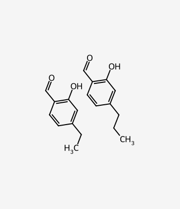 CCCc1ccc(C=O)c(O)c1.CCc1ccc(C=O)c(O)c1